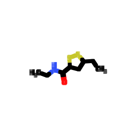 CCNC(=O)C1CC(CC)SS1